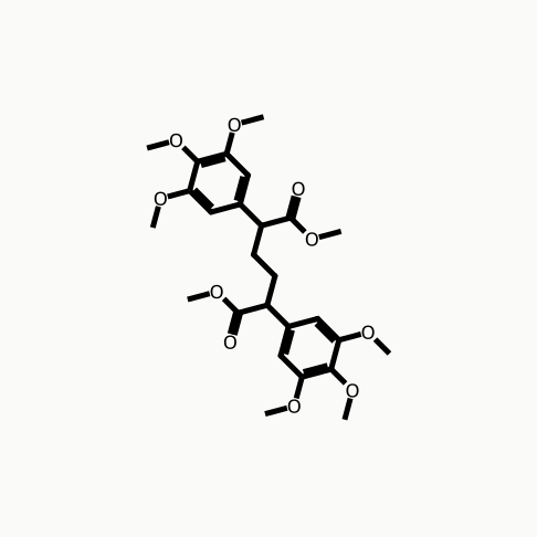 COC(=O)C(CCC(C(=O)OC)c1cc(OC)c(OC)c(OC)c1)c1cc(OC)c(OC)c(OC)c1